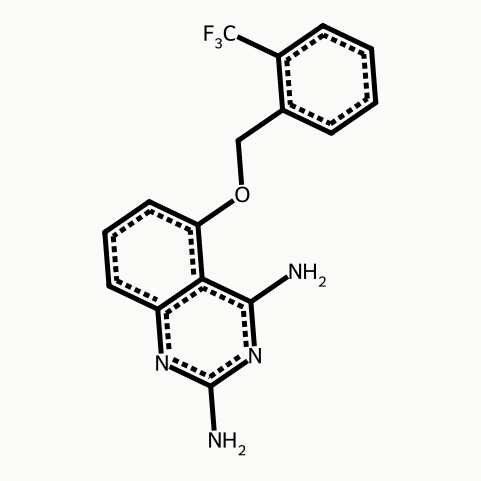 Nc1nc(N)c2c(OCc3ccccc3C(F)(F)F)cccc2n1